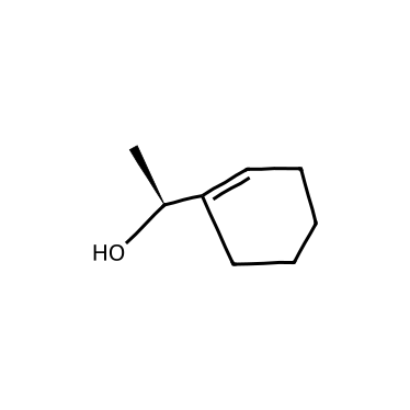 C[C@H](O)C1=CCCCC1